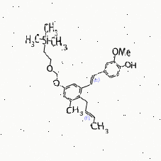 C/C=C/Cc1c(C)cc(OCOCC[Si](C)(C)C)cc1/C=C/c1ccc(O)c(OC)c1